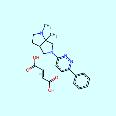 CN1CCC2CN(c3ccc(-c4ccccc4)nn3)CC21C.O=C(O)/C=C/C(=O)O